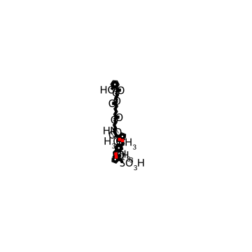 CC1(C)C2CCC1(CS(=O)(=O)O)C(=O)/C2=C\c1ccc(/C=C2\C(=O)C3(CS(=O)(=O)NCCCOC(=O)CCCCC(=O)OCCOC(=O)c4ccccc4O)CCC2C3(C)C)cc1